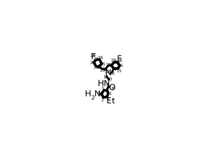 CCc1cc(N)cc(C(=O)NCCN2Cc3ccc(F)cc3CC2Cc2ccc(F)cc2)c1